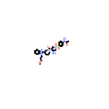 COCCCn1c(C2CCCN(C(=O)[C@@H]3CN(S(=O)(=O)c4ccc(NC(C)=O)cc4)C[C@H]3N)C2)nc2ccccc21